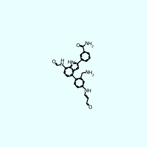 NCc1cc(NC=CC=O)ccc1-c1ccc(NC=O)c2[nH]c(-c3cccc(C(N)=O)c3)cc12